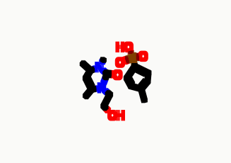 CC1=CC(C)N(C)C(=O)N1CCO.Cc1ccc(S(=O)(=O)O)cc1